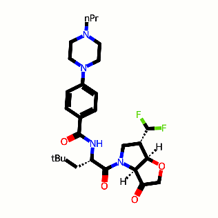 CCCN1CCN(c2ccc(C(=O)N[C@@H](CC(C)(C)C)C(=O)N3C[C@H](C(F)F)[C@H]4OCC(=O)[C@H]43)cc2)CC1